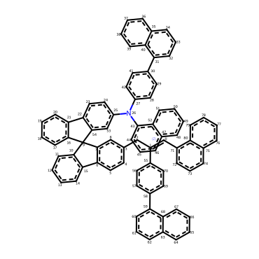 C(=C(\Cc1ccc2c(c1)C1(c3ccccc3-2)c2ccccc2-c2ccc(N(c3ccc(-c4cccc5ccccc45)cc3)c3cccc4ccccc34)cc21)c1ccc(-c2cccc3ccccc23)cc1)/c1cccc2ccccc12